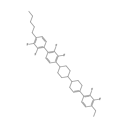 CCCCCc1ccc(-c2ccc(C3CCC(C4CC=C(c5ccc(CC)c(F)c5F)CC4)CC3)c(F)c2F)c(F)c1F